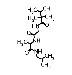 CC(C)CNC(=O)C(C)NC(=O)CNC(=O)C(C)(C)C(C)C